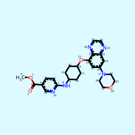 COC(=O)c1ccc(NC2CCC(Oc3cc(N4CCOCC4)cc4nccnc34)CC2)nc1